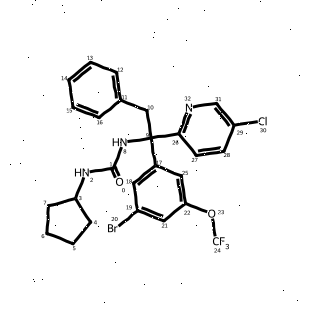 O=C(NC1CCCC1)NC(Cc1ccccc1)(c1cc(Br)cc(OC(F)(F)F)c1)c1ccc(Cl)cn1